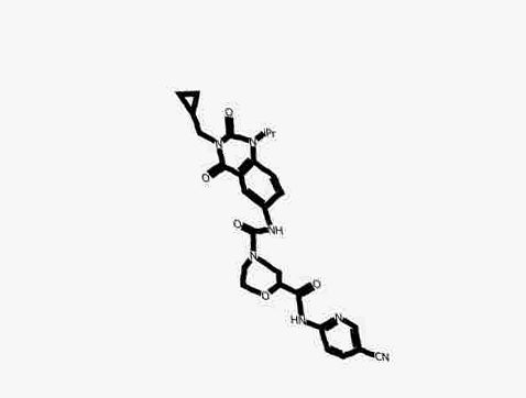 CC(C)n1c(=O)n(CC2CC2)c(=O)c2cc(NC(=O)N3CCOC(C(=O)Nc4ccc(C#N)cn4)C3)ccc21